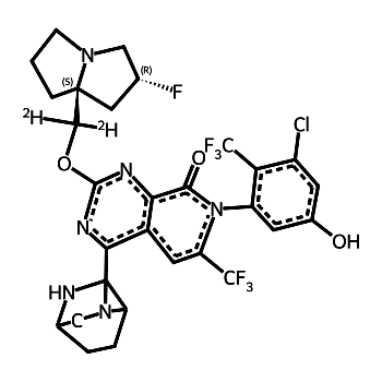 [2H]C([2H])(Oc1nc(N2CC3CCC2CN3)c2cc(C(F)(F)F)n(-c3cc(O)cc(Cl)c3C(F)(F)F)c(=O)c2n1)[C@@]12CCCN1C[C@H](F)C2